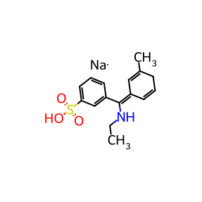 CCNC(=C1C=CCC(C)=C1)c1cccc(S(=O)(=O)O)c1.[Na]